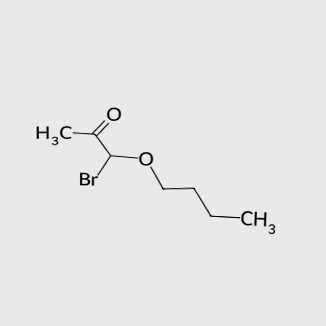 CCCCOC(Br)C(C)=O